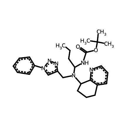 CCCC(NC(=O)OC(C)(C)C)N(Cc1cn(-c2ccccc2)nn1)C1CCCc2cccnc21